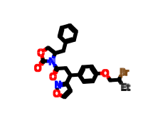 CCC(Br)COc1ccc(C(CC(=O)N2C(=O)OCC2Cc2ccccc2)c2ccon2)cc1